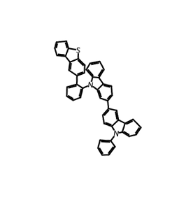 c1ccc(-n2c3ccccc3c3cc(-c4ccc5c6ccccc6n(-c6ccccc6-c6ccc7sc8ccccc8c7c6)c5c4)ccc32)cc1